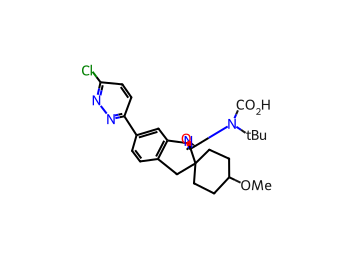 COC1CCC2(CC1)Cc1ccc(-c3ccc(Cl)nn3)cc1C21COC(N(C(=O)O)C(C)(C)C)=N1